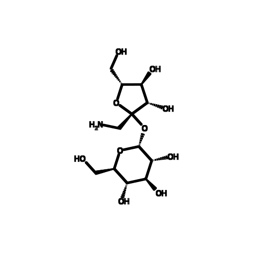 NC[C@@]1(O[C@H]2O[C@H](CO)[C@@H](O)[C@H](O)[C@H]2O)O[C@H](CO)[C@@H](O)[C@@H]1O